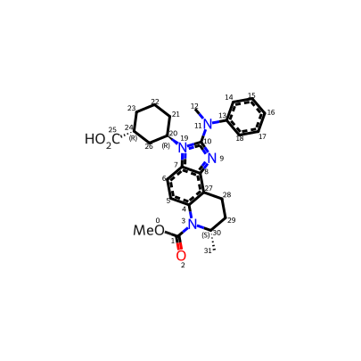 COC(=O)N1c2ccc3c(nc(N(C)c4ccccc4)n3[C@@H]3CCC[C@@H](C(=O)O)C3)c2CC[C@@H]1C